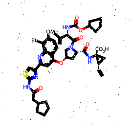 C=C[C@@H]1C[C@]1(NC(=O)[C@@H]1C[C@@H](Oc2cc(-c3csc(NC(=O)CC4CCCC4)n3)nc3c(CC)c(OC)ccc23)CN1C(=O)[C@@H](NC(=O)OC1CCCC1)C(=C)C)C(=O)O